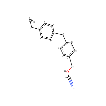 CCc1ccc(Cc2ccc(COC#N)cc2)cc1